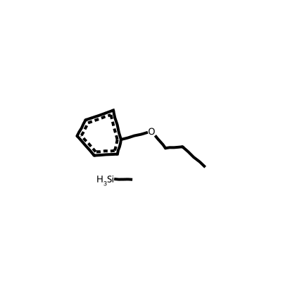 CCCOc1ccccc1.C[SiH3]